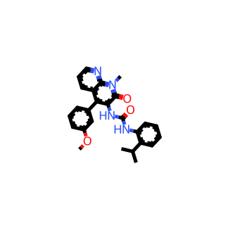 COc1cccc(-c2c(NC(=O)Nc3ccccc3C(C)C)c(=O)n(C)c3ncccc23)c1